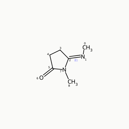 C/N=C1\CCC(=O)N1C